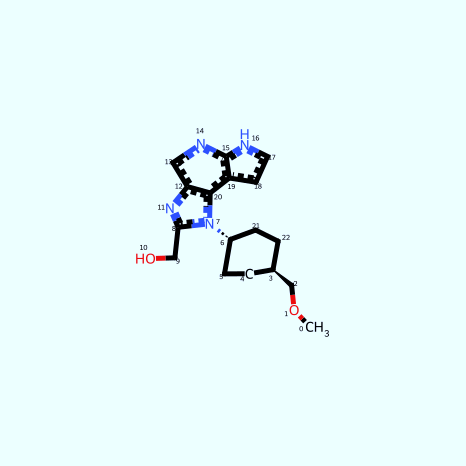 COC[C@H]1CC[C@H](n2c(CO)nc3cnc4[nH]ccc4c32)CC1